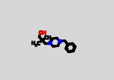 CC(C)(CO)CN1CCN(Cc2ccccc2)CC1